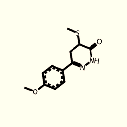 COc1ccc(C2=NNC(=O)C(SC)C2)cc1